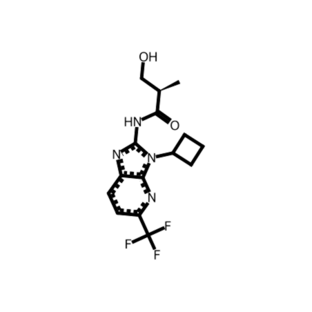 C[C@H](CO)C(=O)Nc1nc2ccc(C(F)(F)F)nc2n1C1CCC1